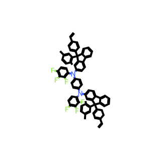 C=CC1=CC=C(C2(c3cc(C)ccc3C)c3ccccc3-c3ccc(N(c4ccc(N(c5ccc6c(c5)C(c5ccc(C=C)cc5)(c5cc(C)ccc5C)c5ccccc5-6)c5ccc(F)c(F)c5F)cc4)c4ccc(F)c(F)c4F)cc32)CC1